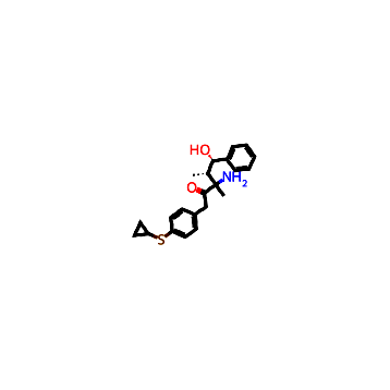 C[C@H]([C@H](O)c1ccccc1)C(C)(N)C(=O)Cc1ccc(SC2CC2)cc1